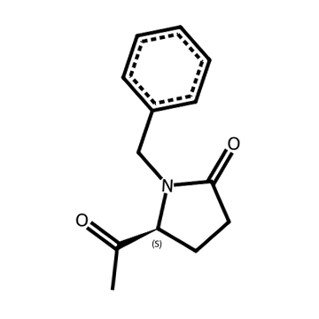 CC(=O)[C@@H]1CCC(=O)N1Cc1ccccc1